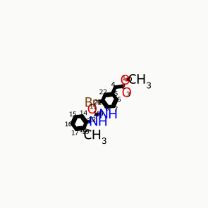 COC(=O)Cc1ccc(NC(=O)Nc2ccccc2C)c(Br)c1